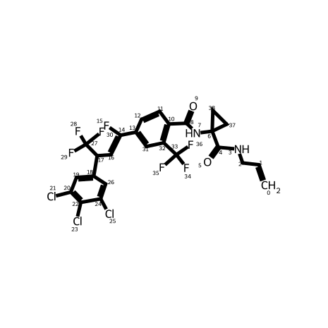 C=CCNC(=O)C1(NC(=O)c2ccc(/C(F)=C/C(c3cc(Cl)c(Cl)c(Cl)c3)C(F)(F)F)cc2C(F)(F)F)CC1